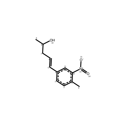 Cc1ccc(C=CCC(C)O)cc1[N+](=O)[O-]